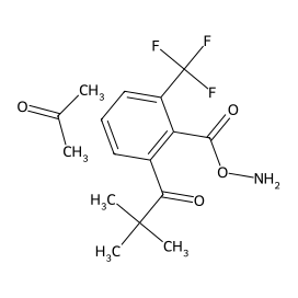 CC(C)(C)C(=O)c1cccc(C(F)(F)F)c1C(=O)ON.CC(C)=O